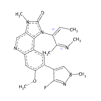 C/C=C(\C(C)=N/C)n1c(=O)n(C)c2cnc3cc(OC)c(C4=CB(C)N=C4F)cc3c21